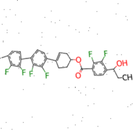 CCC(O)c1ccc(C(=O)OC2CC=C(c3ccc(-c4ccc(C5CO5)c(F)c4F)c(F)c3F)CC2)c(F)c1F